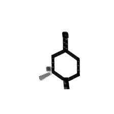 C[C@@H]1CC(=O)CCN1